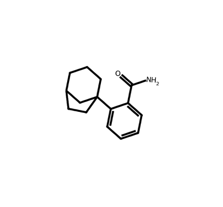 NC(=O)c1ccccc1C12CCCC(CC1)C2